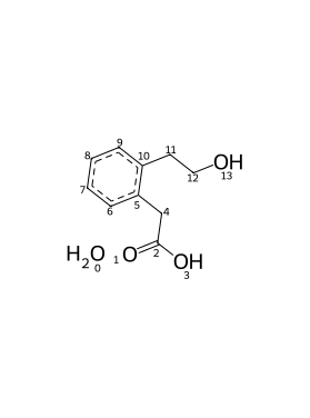 O.O=C(O)Cc1ccccc1CCO